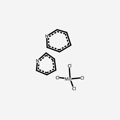 [Cl][Mo]([Cl])([Cl])[Cl].c1ccncc1.c1ccncc1